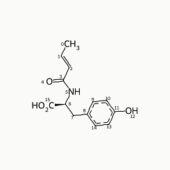 CC=CC(=O)N[C@@H](Cc1ccc(O)cc1)C(=O)O